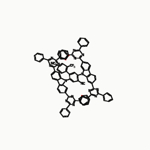 [C-]#[N+]c1cc(-n2c3cc(-c4nc(-c5ccccc5)nc(-c5ccccc5)n4)ccc3c3ccc(-c4nc(-c5ccccc5)nc(-c5ccccc5)n4)cc32)c(-c2ccc(C#N)cc2C(F)(F)F)cc1-n1c2cc(-c3nc(-c4ccccc4)nc(-c4ccccc4)n3)ccc2c2ccc(-c3nc(-c4ccccc4)nc(-c4ccccc4)n3)cc21